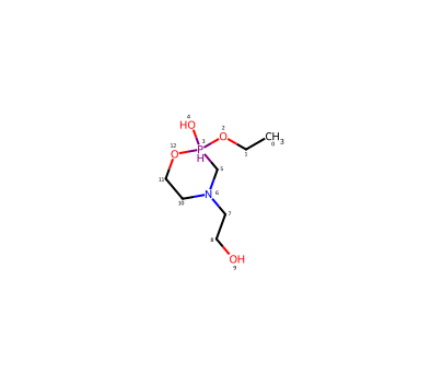 CCO[PH]1(O)CN(CCO)CCO1